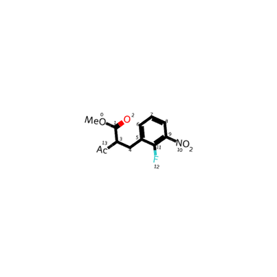 COC(=O)C(Cc1cccc([N+](=O)[O-])c1F)C(C)=O